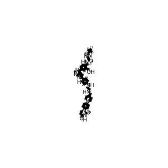 C[C@@H](NC(=O)c1noc(C(C)(C)C)n1)c1ccc(-c2ncnc3[nH]c(-c4ccc(NCCNCC5CCN(c6ccc(N7CCC(=O)NC7=O)cc6)CC5)cc4)cc23)cc1CO